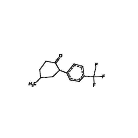 CC1CCC(=O)C(c2ccc(C(F)(F)F)cc2)C1